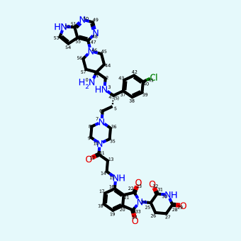 NC1(CN[C@@H](CCN2CCN(C(=O)CCNc3cccc4c3C(=O)N(C3CCC(=O)NC3=O)C4=O)CC2)c2ccc(Cl)cc2)CCN(c2ncnc3[nH]ccc23)CC1